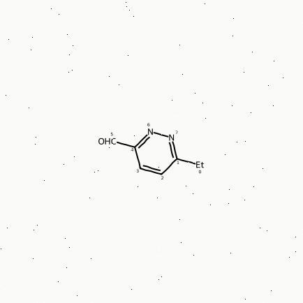 CCc1ccc(C=O)nn1